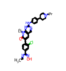 C/C=N/C(=N\O)c1ccc(-c2cc3cnc(Nc4ccc(C5CCN(C(C)C)CC5)cc4)nc3n(CC)c2=O)c(Cl)c1